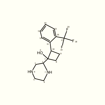 OC1(C2CNCCN2)CCC1c1ccccc1C(F)(F)F